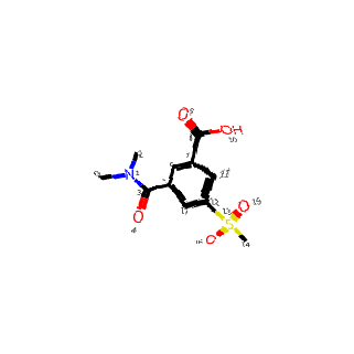 CN(C)C(=O)c1cc(C(=O)O)cc(S(C)(=O)=O)c1